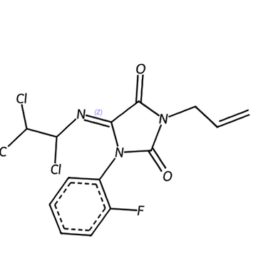 C=CCN1C(=O)/C(=N/C(Cl)C(Cl)C(Cl)(Cl)Cl)N(c2ccccc2F)C1=O